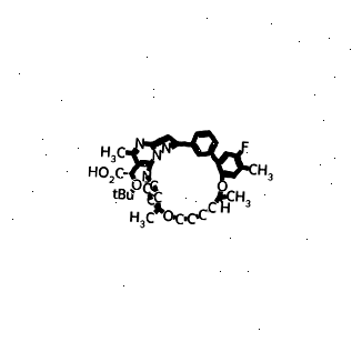 Cc1cc2c(cc1F)-c1cccc(c1)-c1cc3nc(C)c([C@H](OC(C)(C)C)C(=O)O)c(n3n1)N1CCC(C)(CC1)OCCCC[C@H](C)O2